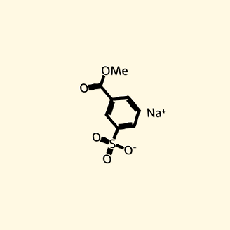 COC(=O)c1cccc(S(=O)(=O)[O-])c1.[Na+]